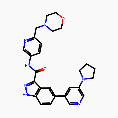 O=C(Nc1ccc(CN2CCOCC2)nc1)c1n[nH]c2ccc(-c3cncc(N4CCCC4)c3)cc12